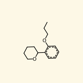 CCCOc1ccccc1[C]1CCCCO1